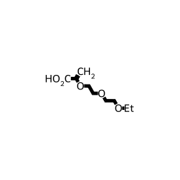 C=C(OCCOCCOCC)C(=O)O